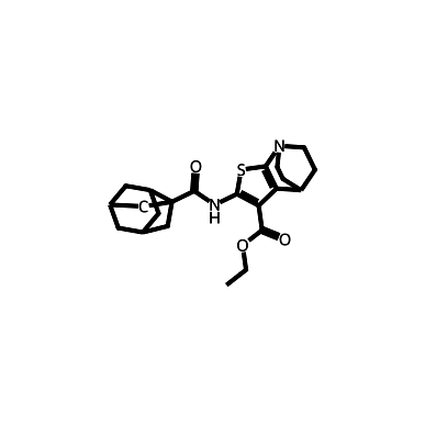 CCOC(=O)c1c(NC(=O)C23CC4CC(CC2C4)C3)sc2c1C1CCN2CC1